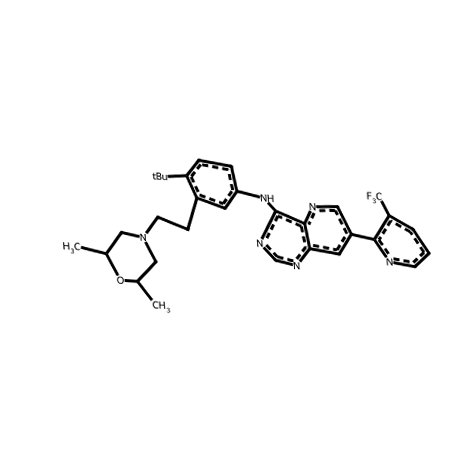 CC1CN(CCc2cc(Nc3ncnc4cc(-c5ncccc5C(F)(F)F)cnc34)ccc2C(C)(C)C)CC(C)O1